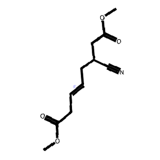 COC(=O)C/C=C/CC(C#N)CC(=O)OC